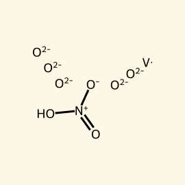 O=[N+]([O-])O.[O-2].[O-2].[O-2].[O-2].[O-2].[V]